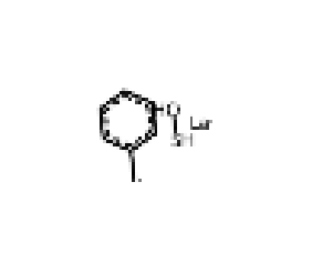 OS.[CH2]c1ccccc1.[La]